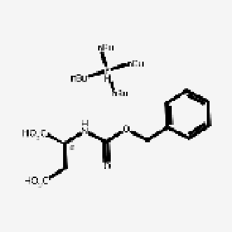 CCCC[PH](CCCC)(CCCC)CCCC.O=C(O)C[C@H](NC(=O)OCc1ccccc1)C(=O)O